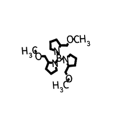 COCC1CCCN1B(N1CCCC1COC)N1CCCC1COC